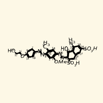 COc1cc(/N=N/c2ccc(OCCO)cc2)c(C)cc1/N=N/c1c(S(=O)(=O)O)cc2cc(S(=O)(=O)O)cc(N)c2c1O